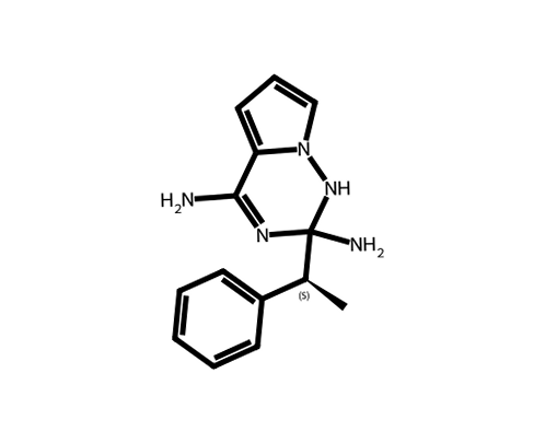 C[C@@H](c1ccccc1)C1(N)N=C(N)c2cccn2N1